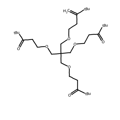 C=C(CCOCC(COCCC(=O)C(C)(C)C)(COCCC(=O)C(C)(C)C)COCCC(=O)C(C)(C)C)C(C)(C)C